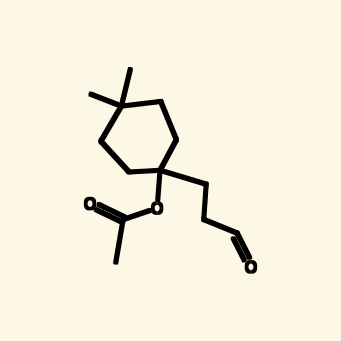 CC(=O)OC1(CCC=O)CCC(C)(C)CC1